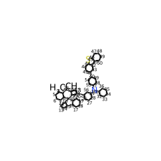 CC1(C)c2ccccc2C2(c3ccccc3-c3ccccc32)c2cc(-c3cccc(N(c4ccccc4)c4ccc(-c5ccc6sc7ccccc7c6c5)cc4)c3)ccc21